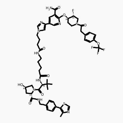 Cc1ncsc1-c1ccc(CNC(=O)[C@@H]2C[C@@H](O)CN2C(=O)[C@@H](NC(=O)CCCCNC(=O)CCCn2cnc(-c3cnc(O[C@@H]4CCN(C(=O)Cc5ccc(OC(F)(F)F)cc5)C[C@H]4F)c(C(N)=O)c3)c2)C(C)(C)C)cc1